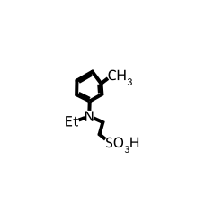 CCN(CCS(=O)(=O)O)c1cccc(C)c1